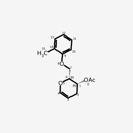 CC(=O)O[C@@H]1CC=CO[C@@H]1COc1ccccc1C